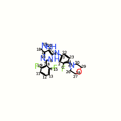 Fc1cc(Nc2nc(-c3c(F)cccc3F)nc3cn[nH]c23)ccc1N1CCOCC1